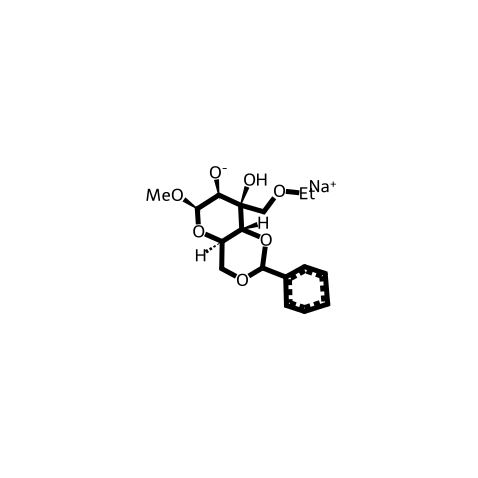 CCOC[C@@]1(O)[C@H]([O-])[C@H](OC)O[C@@H]2COC(c3ccccc3)O[C@H]21.[Na+]